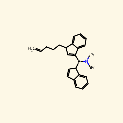 C=CCCCC1C=C(B(C2C=Cc3ccccc32)N(C(C)C)C(C)C)c2ccccc21